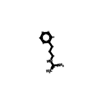 C=C(N)NCCCc1ccccc1